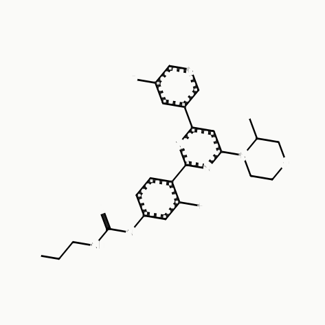 CC1COCCN1c1cc(-c2cncc(F)c2)nc(-c2ccc(NC(=O)NCCF)cc2F)n1